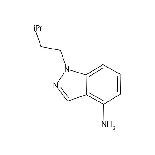 CC(C)CCn1ncc2c(N)cccc21